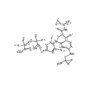 NC1(CNc2ccc3c(=O)c(C(=O)N[C@@H](C4CC4)C(F)(F)F)cn(-c4c(F)cc(F)cc4F)c3n2)CC1.O=C(O)C(F)(F)F.O=C(O)C(F)(F)F